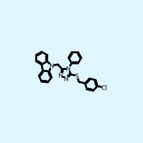 Clc1ccc(CSc2nnc(Cn3c4ccccc4c4ccccc43)n2-c2ccccc2)cc1